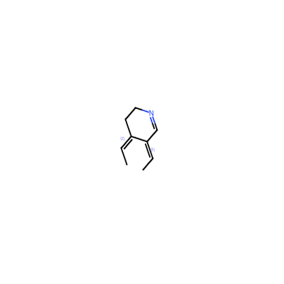 C/C=C1/CCN=C/C1=C/C